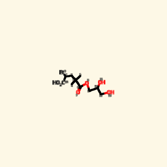 CCC(CC(C)(C)C(=O)OCC(O)CO)C(=O)O